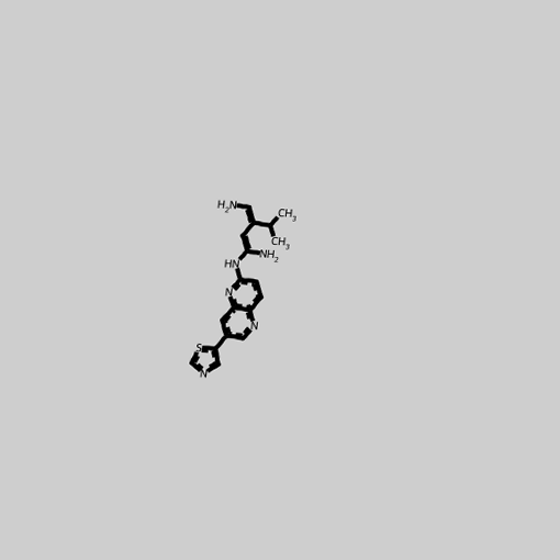 CC(C)C(=C/N)/C=C(\N)Nc1ccc2ncc(-c3cncs3)cc2n1